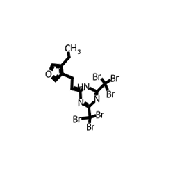 CCc1cocc1CC=C1N=C(C(Br)(Br)Br)N=C(C(Br)(Br)Br)N1